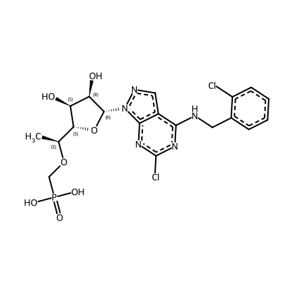 C[C@H](OCP(=O)(O)O)[C@H]1O[C@@H](n2ncc3c(NCc4ccccc4Cl)nc(Cl)nc32)[C@H](O)[C@@H]1O